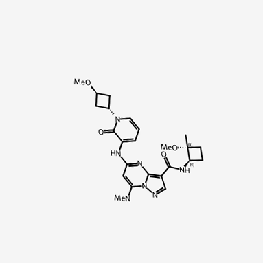 CNc1cc(Nc2cccn([C@H]3C[C@H](OC)C3)c2=O)nc2c(C(=O)N[C@@H]3CC[C@@]3(C)OC)cnn12